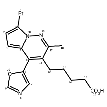 CCc1ccc2c(-c3cnco3)c(CCCCC(=O)O)c(C)nn12